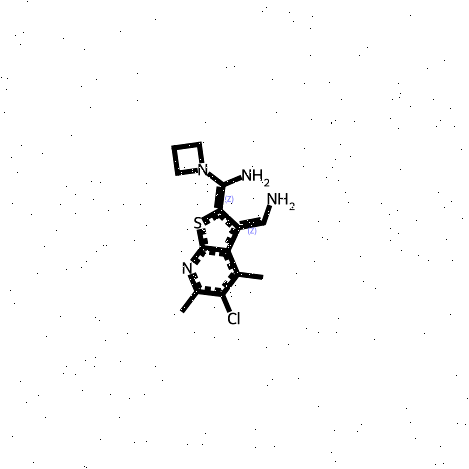 Cc1nc2sc(=C(/N)N3CCC3)/c(=C\N)c2c(C)c1Cl